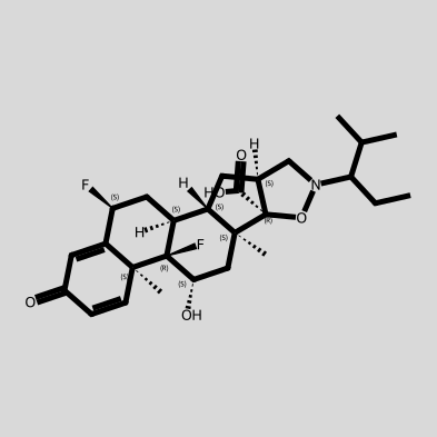 CCC(C(C)C)N1C[C@@H]2C[C@H]3[C@@H]4C[C@H](F)C5=CC(=O)C=C[C@]5(C)[C@@]4(F)[C@@H](O)C[C@]3(C)[C@]2(C(=O)O)O1